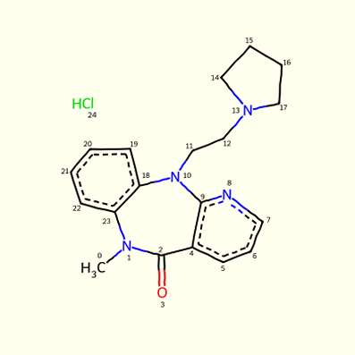 CN1C(=O)c2cccnc2N(CCN2CCCC2)c2ccccc21.Cl